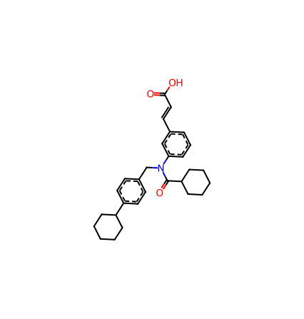 O=C(O)C=Cc1cccc(N(Cc2ccc(C3CCCCC3)cc2)C(=O)C2CCCCC2)c1